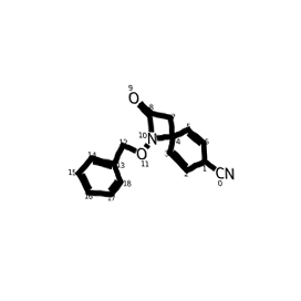 N#CC1C=CC2(C=C1)CC(=O)N2OCc1ccccc1